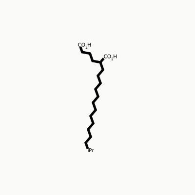 CC(C)CCCCCCCCCCCCC(CCCC(=O)O)C(=O)O